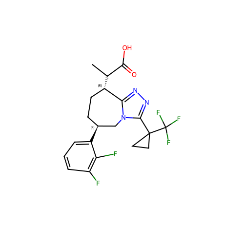 CC(C(=O)O)[C@H]1CC[C@H](c2cccc(F)c2F)Cn2c1nnc2C1(C(F)(F)F)CC1